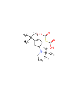 CCN(C1CC=C([Si](C)(C)C)C1)[Si](C)(C)C.O=C(O)SC(=O)O